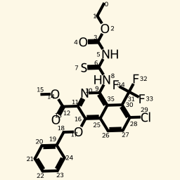 CCOC(=O)NC(=S)Nc1nc(C(=O)OC)c(OCc2ccccc2)c2ccc(Cl)c(C(F)(F)F)c12